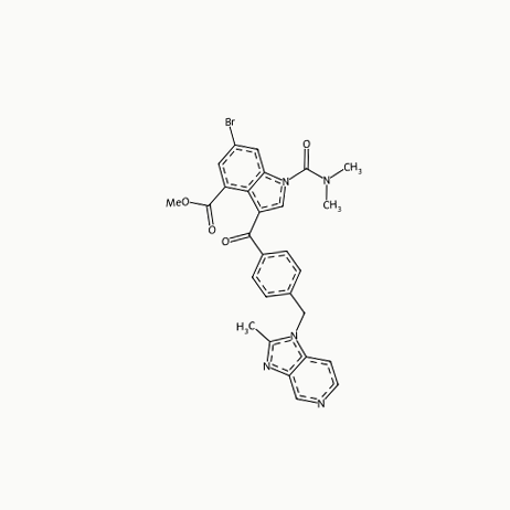 COC(=O)c1cc(Br)cc2c1c(C(=O)c1ccc(Cn3c(C)nc4cnccc43)cc1)cn2C(=O)N(C)C